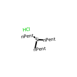 CCCCC[Si](CCCCC)CCCCC.Cl